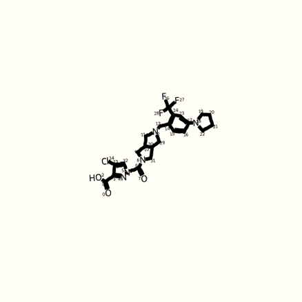 O=C(O)c1nn(C(=O)N2CC3CN(Cc4ccc(N5CCCC5)cc4C(F)(F)F)CC3C2)cc1Cl